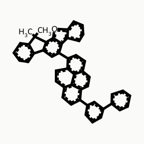 CC1(C)c2ccccc2-c2cc(-c3ccc4ccc5c(-c6cccc(-c7ccccc7)c6)ccc6ccc3c4c65)c3c(oc4ccccc43)c21